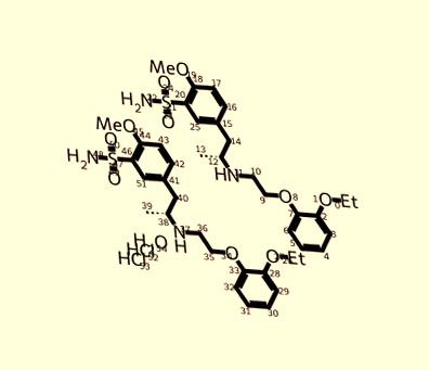 CCOc1ccccc1OCCN[C@H](C)Cc1ccc(OC)c(S(N)(=O)=O)c1.CCOc1ccccc1OCCN[C@H](C)Cc1ccc(OC)c(S(N)(=O)=O)c1.Cl.Cl.O